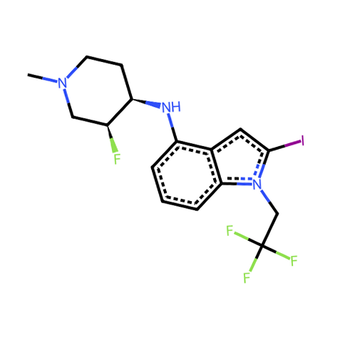 CN1CC[C@@H](Nc2cccc3c2cc(I)n3CC(F)(F)F)[C@@H](F)C1